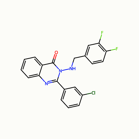 O=c1c2ccccc2nc(-c2cccc(Cl)c2)n1NCc1ccc(F)c(F)c1